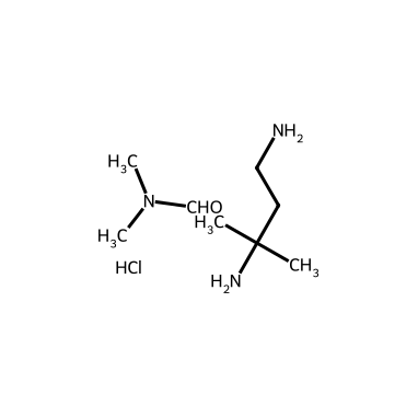 CC(C)(N)CCN.CN(C)C=O.Cl